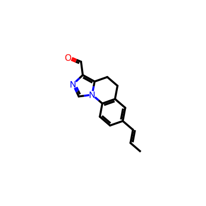 CC=Cc1ccc2c(c1)CCc1c(C=O)ncn1-2